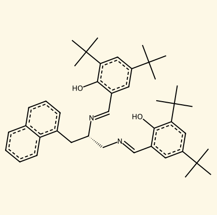 CC(C)(C)c1cc(C=NC[C@H](Cc2cccc3ccccc23)N=Cc2cc(C(C)(C)C)cc(C(C)(C)C)c2O)c(O)c(C(C)(C)C)c1